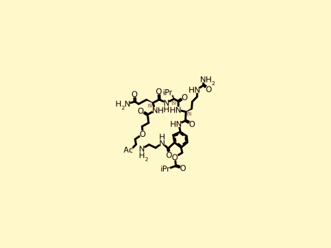 CC(=O)CCOCCC(=O)N[C@@H](CCC(N)=O)C(=O)N[C@H](C(=O)N[C@@H](CCCNC(N)=O)C(=O)Nc1ccc(COC(=O)C(C)C)c(C(=O)NCCN)c1)C(C)C